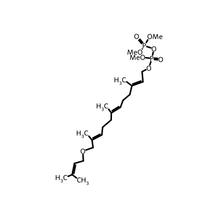 COP(=O)(OC)OP(=O)(OC)OC/C=C(\C)CC/C=C(\C)CC/C=C(\C)COCC=C(C)C